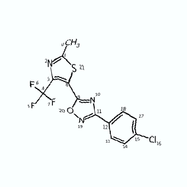 Cc1nc(C(F)(F)F)c(-c2nc(-c3ccc(Cl)cc3)no2)s1